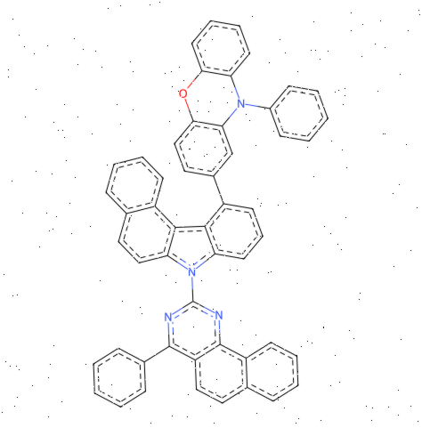 c1ccc(-c2nc(-n3c4cccc(-c5ccc6c(c5)N(c5ccccc5)c5ccccc5O6)c4c4c5ccccc5ccc43)nc3c2ccc2ccccc23)cc1